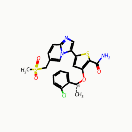 C[C@@H](Oc1cc(-c2cnc3ccc(CS(C)(=O)=O)cn23)sc1C(N)=O)c1ccccc1Cl